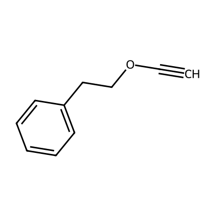 C#COCCc1ccccc1